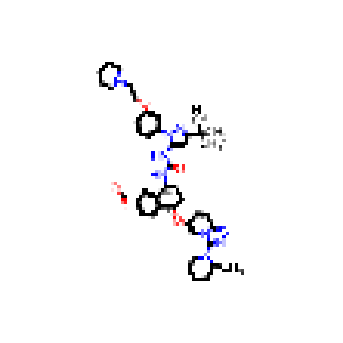 CC1CCCCN1c1nnc2ccc(O[C@@H]3CC[C@H](NC(=O)Nc4cc(C(C)(C)C)nn4-c4cccc(OCCN5CCCCC5)c4)c4ccccc43)cn12.O=CO